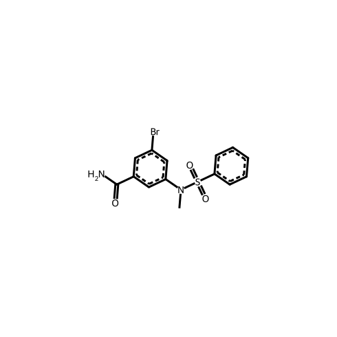 CN(c1cc(Br)cc(C(N)=O)c1)S(=O)(=O)c1ccccc1